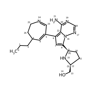 CCCC1C=C(c2cc([C@H]3CC[C@@H](CO)N3)n3ncnc(N)c23)C=NCC1